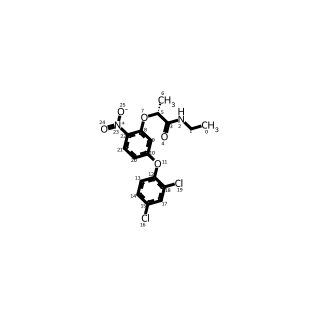 CCNC(=O)[C@@H](C)Oc1cc(Oc2ccc(Cl)cc2Cl)ccc1[N+](=O)[O-]